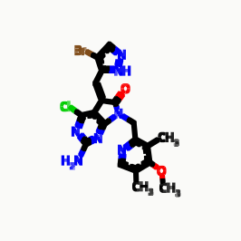 COc1c(C)cnc(CN2C(=O)C(=Cc3[nH]ncc3Br)c3c(Cl)nc(N)nc32)c1C